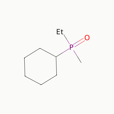 CCP(C)(=O)C1CCCCC1